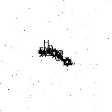 Cc1ccc(CCS(=O)(=O)c2ccc(S(=O)(=O)Nc3nccs3)cc2)cc1